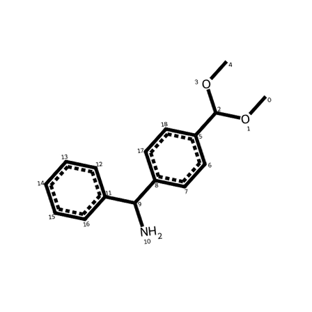 COC(OC)c1ccc(C(N)c2ccccc2)cc1